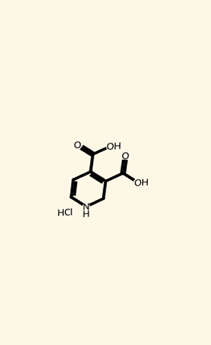 Cl.O=C(O)C1=C(C(=O)O)CNC=C1